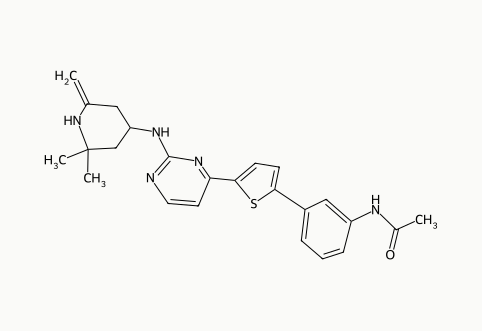 C=C1CC(Nc2nccc(-c3ccc(-c4cccc(NC(C)=O)c4)s3)n2)CC(C)(C)N1